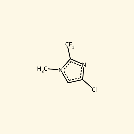 Cn1cc(Cl)nc1C(F)(F)F